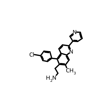 Cc1cc2nc(-c3cccnc3)ccc2c(-c2ccc(Cl)cc2)c1CCN